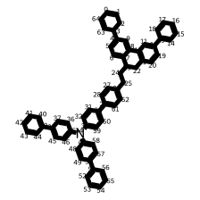 C1=CCC(c2ccc3c(c2)-c2cc(-c4ccccc4)ccc2CC3CCc2ccc(-c3ccc(N(c4ccc(-c5ccccc5)cc4)c4ccc(-c5ccccc5)cc4)cc3)cc2)C=C1